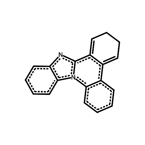 C1=c2c(c3nc4ccccc4n3c3ccccc23)=CCC1